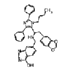 CCCCn1c(-c2ccccc2)nc(-c2ccccc2)c1C(Cc1ccc2c(c1)OCO2)NCc1ccc2c(O)ncnc2c1